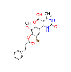 COc1cc(C2NC(=O)NC(C)=C2C(=O)O)cc(Br)c1OC(=O)C=Cc1ccccc1